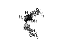 Cc1ncsc1-c1ccc([C@H](C)NC(=O)[C@@H]2C[C@@H](O)CN2C(=O)[C@@H](NC(=O)CCCCc2cccc(OC[C@@H](N)CCC(N)=O)c2Cl)C(C)(C)C)cc1